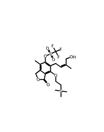 CC(=CCc1c(OS(=O)(=O)C(F)(F)F)c(C)c2c(c1OCC[Si](C)(C)C)C(=O)OC2)CO